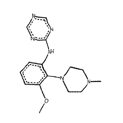 COc1cccc(Nc2ncncn2)c1N1CCN(C)CC1